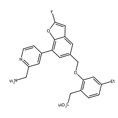 CCc1ccc(CC(=O)O)c(OCc2cc(-c3ccnc(CN)c3)c3oc(F)cc3c2)c1